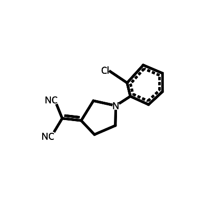 N#CC(C#N)=C1CCN(c2ccccc2Cl)C1